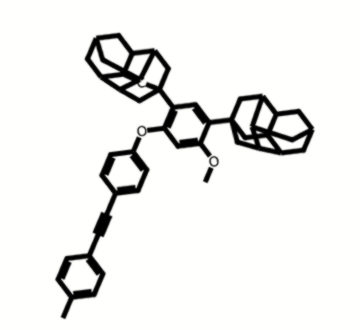 COc1cc(Oc2ccc(C#Cc3ccc(C)cc3)cc2)c(C23CC4C5CC6CC4C(C2)C(C6)C5C3)cc1C12CC3C4CC5CC3C(C1)C(C5)C4C2